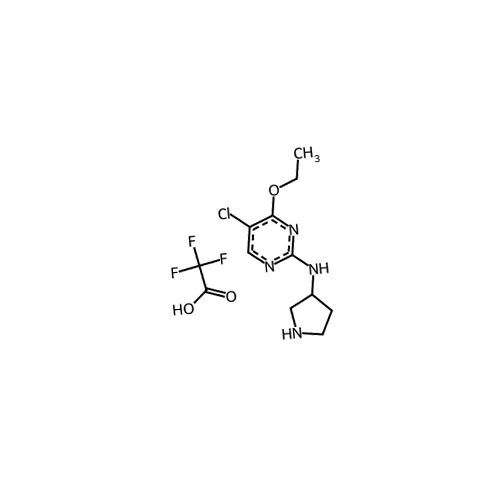 CCOc1nc(NC2CCNC2)ncc1Cl.O=C(O)C(F)(F)F